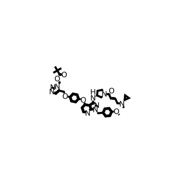 COc1ccc(Cn2nc(N[C@@H]3CCN(C(=O)/C=C/CN(C)C4CC4)C3)c3c(Oc4ccc(OCc5cnnn5COC(=O)C(C)(C)C)cc4)ccnc32)cc1